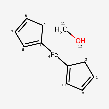 C1=CC[C]([Fe][C]2=CC=CC2)=C1.CO